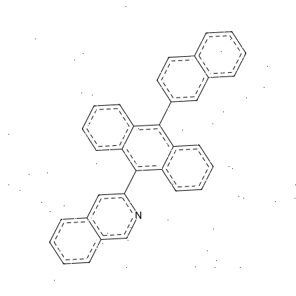 c1ccc2cc(-c3c4ccccc4c(-c4cc5ccccc5cn4)c4ccccc34)ccc2c1